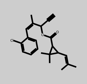 C#CC(OC(=O)C1C(C=C(C)C)C1(C)C)C(C)=Cc1ccccc1Cl